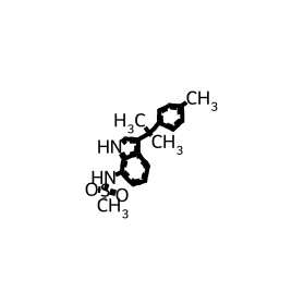 Cc1ccc(C(C)(C)c2c[nH]c3c(NS(C)(=O)=O)cccc23)cc1